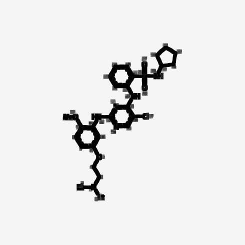 CCN(CC)CCOc1ccc(OC)c(Nc2ncc(Cl)c(Nc3ccccc3S(=O)(=O)NC3CCCC3)n2)c1